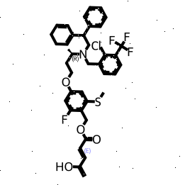 C=C(O)/C=C/C(=O)OCc1c(F)cc(OCC[C@@H](C)N(Cc2cccc(C(F)(F)F)c2Cl)CC(C2=CCCC=C2)c2ccccc2)cc1SC